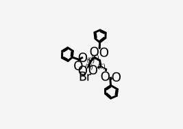 O=C(OC[C@@H]1C[C@H](OC(=O)c2ccccc2)[C@@H](OC(=O)c2ccccc2)[C@@H](OBr)O1)c1ccccc1